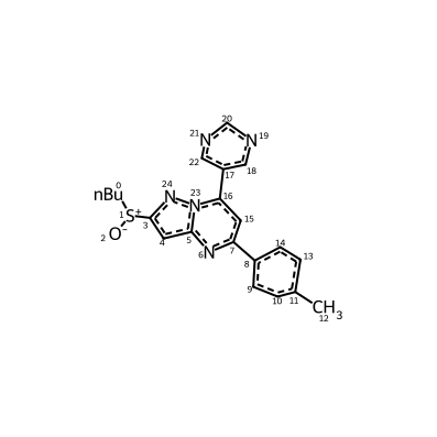 CCCC[S+]([O-])c1cc2nc(-c3ccc(C)cc3)cc(-c3cncnc3)n2n1